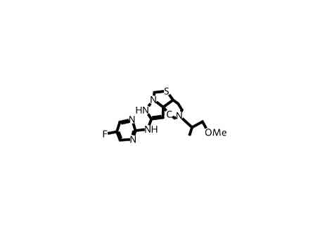 COCC(C)N1CCC2SCN3NC(Nc4ncc(F)cn4)=CC23CC1